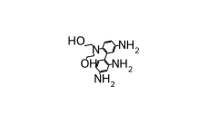 Nc1ccc(-c2cc(N)ccc2N(CCO)CCO)c(N)c1